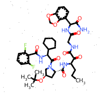 CCCC(NC(=O)[C@@H]1C[C@@H](OC(C)(C)C)CN1C(=O)[C@@H](NC(=O)c1c(F)cccc1F)C1CCCCC1)C(=O)C(=O)NCC(=O)NC(C(N)=O)c1cccc2c1OCO2